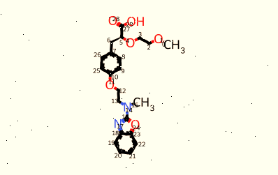 COCCO[C@@H](Cc1ccc(OCCN(C)c2nc3ccccc3o2)cc1)C(=O)O